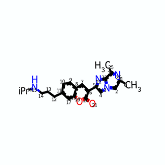 Cc1cn2cc(-c3cc4ccc(CCCNC(C)C)cc4oc3=O)nc2c(C)n1